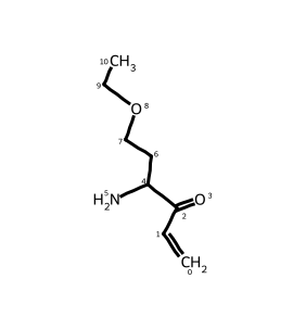 C=CC(=O)C(N)CCOCC